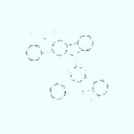 CC1(C)c2ccccc2-c2cc3c(cc21)c1ccccc1n3-c1nc(-c2ccccc2)c2c(n1)-c1ccccc1C2(C)C